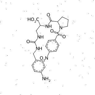 Nc1ccc(CNC(=O)NCC(NC(=O)C2CCCN2S(=O)(=O)c2ccc([N+](=O)[O-])cc2)C(=O)O)cc1